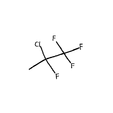 CC(F)(Cl)C(F)(F)F